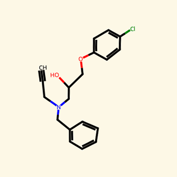 C#CCN(Cc1ccccc1)CC(O)COc1ccc(Cl)cc1